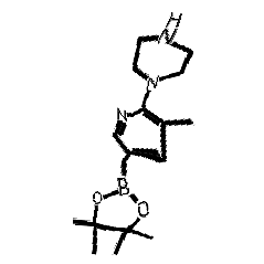 Cc1cc(B2OC(C)(C)C(C)(C)O2)cnc1N1CCNCC1